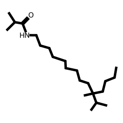 CCCCC(C)(CCCCCCCCCNC(=O)C(C)C)C(C)C